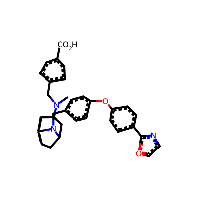 CN(Cc1ccc(C(=O)O)cc1)C1CC2CCC(C1)N2Cc1ccc(Oc2ccc(-c3ncco3)cc2)cc1